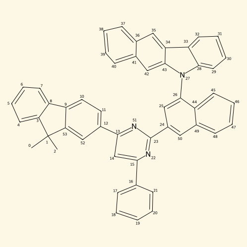 CC1(C)c2ccccc2-c2ccc(-c3cc(-c4ccccc4)nc(-c4cc(-n5c6ccccc6c6cc7ccccc7cc65)c5ccccc5c4)n3)cc21